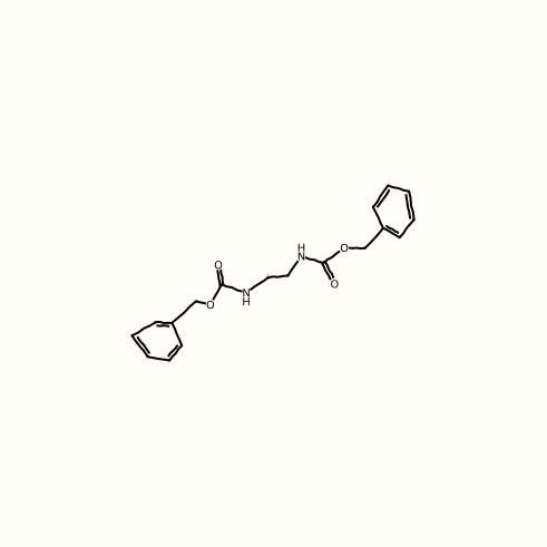 O=C(N[CH]CNC(=O)OCc1ccccc1)OCc1ccccc1